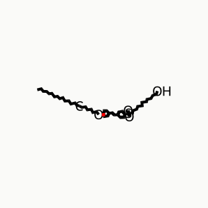 CCCCCCCCCCCCCCCCCCCCCCOc1ccc(C=Cc2ccc(S(=O)(=O)CCCCCCCCCCCO)cc2)cc1